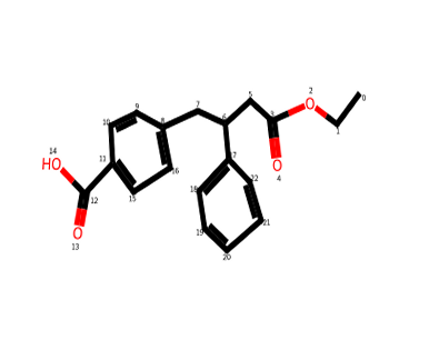 CCOC(=O)CC(Cc1ccc(C(=O)O)cc1)c1ccccc1